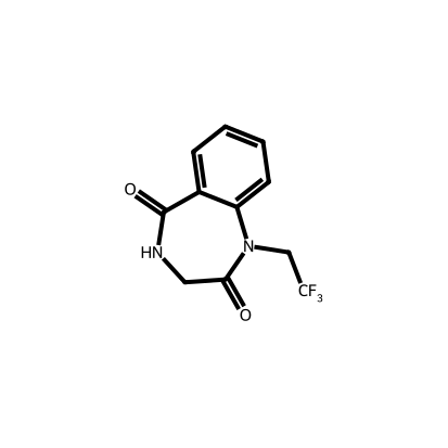 O=C1NCC(=O)N(CC(F)(F)F)c2ccccc21